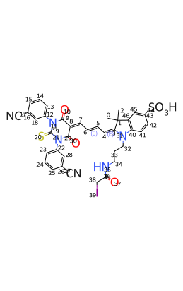 CC1(C)/C(=C\C=C\C=C2C(=O)N(c3cccc(C#N)c3)C(=S)N(c3cccc(C#N)c3)C2=O)N(CCCNC(=O)CI)c2ccc(S(=O)(=O)O)cc21